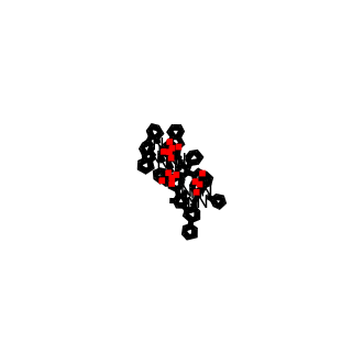 Cc1cc2c3cc(-c4ccccc4)ccc3n(-c3nc(-c4ccccc4)nc(-c4cccc(-c5cc6c7ccccc7n(-c7nc(-c8ccc9ccccc9c8)nc(-n8c9ccccc9c9ccc%10c%11ccccc%11n(-c%11ccccc%11)c%10c98)n7)c6c6c5c5ccccc5n6-c5ccccc5)c4)n3)c2c2c1c1cc(-c3ccccc3)ccc1n2-c1ccc2ccccc2c1